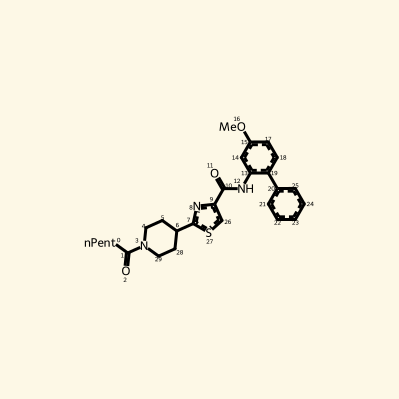 CCCCCC(=O)N1CCC(c2nc(C(=O)Nc3cc(OC)ccc3-c3ccccc3)cs2)CC1